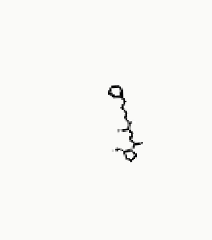 O=C[C@@H]1CCCN1C(=O)CCC(=O)NCCCCc1ccccc1